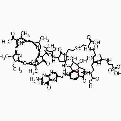 CC[C@H]1c2cc3[nH]c4c(c3C)C(=O)C(C(=O)OC)c4c3nc(cc4[nH]c(cc(n2)[C@@H]1C)c(C(C)=O)c4C)[C@@H](C)[C@@H]3CCC(=O)NC(CC(=O)NC1C(O)OC(CO)C(O)C1O)C(=O)NCCSSC[C@H](NC(=O)[C@H](CC(=O)NCCS(=O)(=O)O)NC(=O)CC[C@H](NC(=O)c1ccc(NCc2cnc3nc(N)[nH]c(=O)c3n2)cc1)C(=O)O)C(=O)O